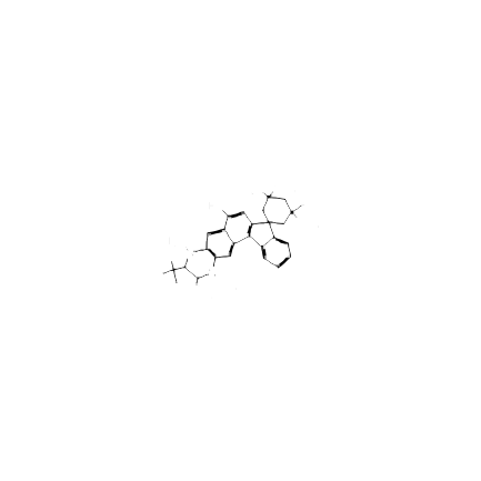 CC1C(C(F)(F)F)N(C)c2cc3c(O)cc4c(c3cc2N1C)-c1ccccc1C41CC(C)(C)CC(C)(C)C1